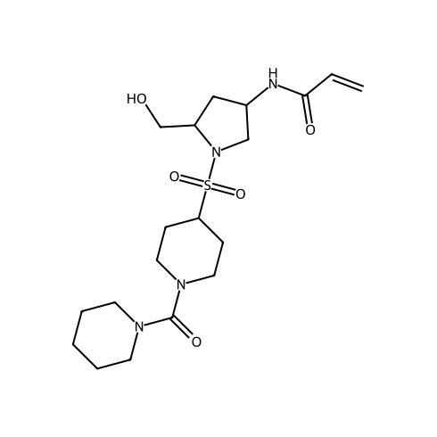 C=CC(=O)NC1CC(CO)N(S(=O)(=O)C2CCN(C(=O)N3CCCCC3)CC2)C1